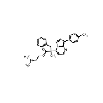 CN(C)CCOC(=O)C(C)(Cc1ccccc1)c1ccnc2c(-c3ccc(C(F)(F)F)cc3)cnn12